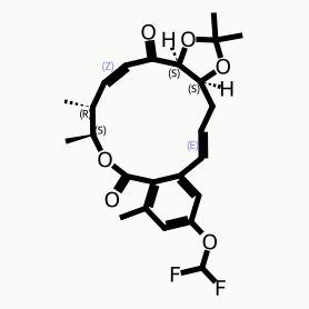 Cc1cc(OC(F)F)cc2c1C(=O)O[C@@H](C)[C@H](C)/C=C\C(=O)[C@H]1OC(C)(C)O[C@H]1C/C=C/2